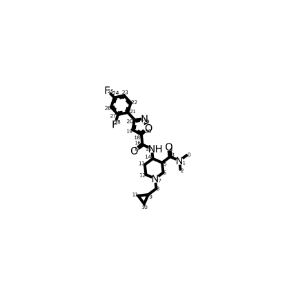 CN(C)C(=O)C1CN(CC2CC2)CCC1NC(=O)c1cc(-c2ccc(F)cc2F)no1